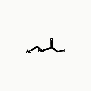 CC(=O)CNC(=O)CI